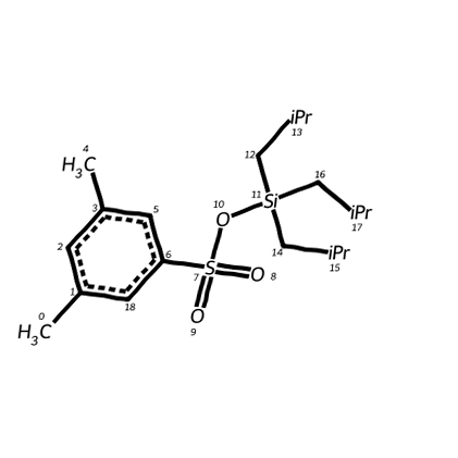 Cc1cc(C)cc(S(=O)(=O)O[Si](CC(C)C)(CC(C)C)CC(C)C)c1